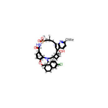 COc1ccc([C@]2(O)/C=C/C[C@H](C)[C@@H](C)S(=O)(=O)NC(=O)c3ccc4c(c3)N(C[C@@H]3CC[C@H]32)C[C@@]2(CCCc3cc(Cl)ccc32)CO4)cn1